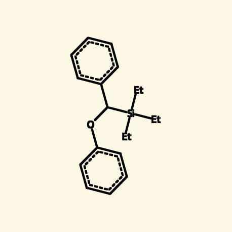 CC[Si](CC)(CC)C(Oc1ccccc1)c1ccccc1